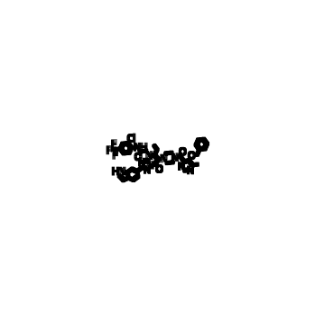 CCc1c(N2CCN(C(=O)c3ncnc(C)c3OCc3ccccc3)CC2)c(=O)n2nc(C3=CC4NC=CC4C=C3)nc2n1CC(=O)Nc1ccc(C(F)(F)F)cc1Cl